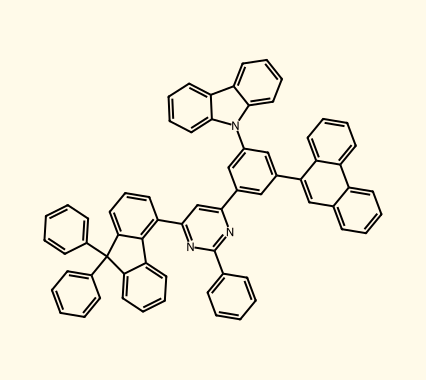 c1ccc(-c2nc(-c3cc(-c4cc5ccccc5c5ccccc45)cc(-n4c5ccccc5c5ccccc54)c3)cc(-c3cccc4c3-c3ccccc3C4(c3ccccc3)c3ccccc3)n2)cc1